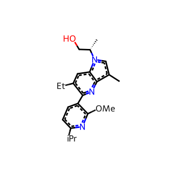 CCc1cc2c(nc1-c1ccc(C(C)C)nc1OC)c(C)cn2[C@@H](C)CO